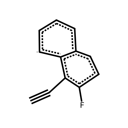 C#Cc1c(F)ccc2ccc[c]c12